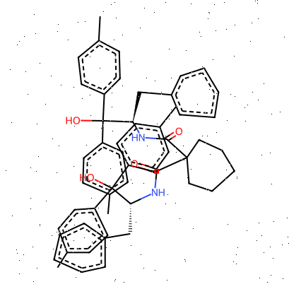 Cc1ccc(C(O)(c2ccc(C)cc2)[C@@H](Cc2ccccc2)NC(=O)C2(C(=O)N[C@H](Cc3ccccc3)C(O)(c3ccc(C)cc3)c3ccc(C)cc3)CCCCC2)cc1